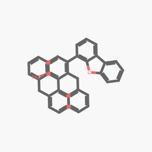 Oc1ccc(-c2cccc3c2oc2ccccc23)c(Cc2ccccc2)c1-c1ccccc1Cc1ccccc1